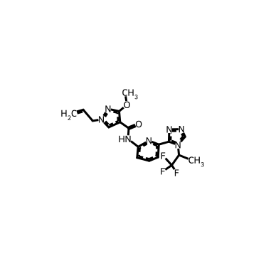 C=CCn1cc(C(=O)Nc2cccc(-c3nncn3C(C)C(F)(F)F)n2)c(OC)n1